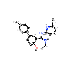 FC(F)(F)c1ccc(-c2ccc3c(c2)C(Nc2cccc(C(F)(F)F)n2)=NCCO3)cc1